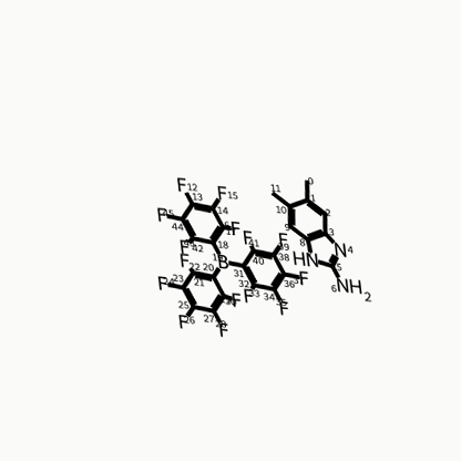 Cc1cc2nc(N)[nH]c2cc1C.Fc1c(F)c(F)c(B(c2c(F)c(F)c(F)c(F)c2F)c2c(F)c(F)c(F)c(F)c2F)c(F)c1F